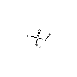 [2H]OP(N)(=O)P